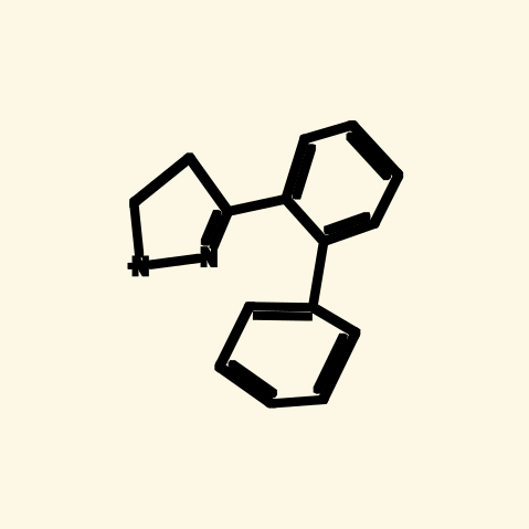 c1ccc(-c2ccccc2C2=N[N]CC2)cc1